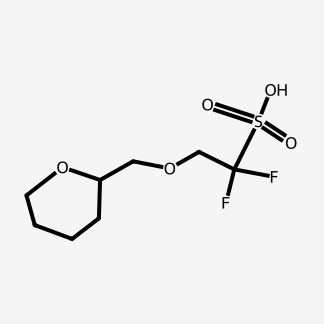 O=S(=O)(O)C(F)(F)COCC1CCCCO1